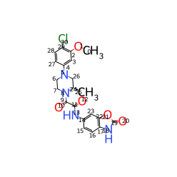 COc1cc(N2CCN(C(=O)C(=O)Nc3ccc4[nH]c(=O)oc4c3)[C@H](C)C2)ccc1Cl